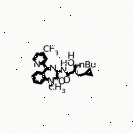 CCCC[C@H](O)[C@@H](CC1CC1)C(=O)NC1N=C(c2cc(C(F)(F)F)ccn2)c2ccccc2N(C)C1=O